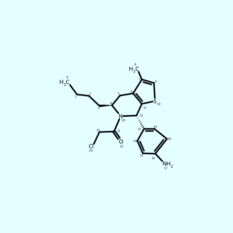 CCCC[C@H]1Cc2c(C)csc2[C@H](c2ccc(N)cc2)N1C(=O)CCl